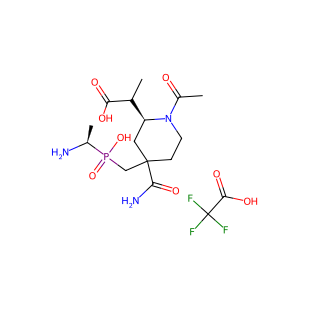 CC(=O)N1CCC(CP(=O)(O)[C@H](C)N)(C(N)=O)C[C@H]1C(C)C(=O)O.O=C(O)C(F)(F)F